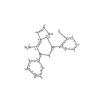 Cc1ccccc1N1CN(c2ccccc2)C(N)=C2C=NN=C21